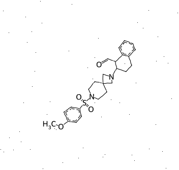 COc1ccc(S(=O)(=O)N2CCC3(CC2)CN(C2CCc4ccccc4C2C=O)C3)cc1